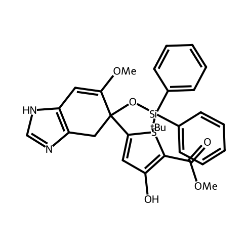 COC(=O)c1sc(C2(O[Si](c3ccccc3)(c3ccccc3)C(C)(C)C)Cc3nc[nH]c3C=C2OC)cc1O